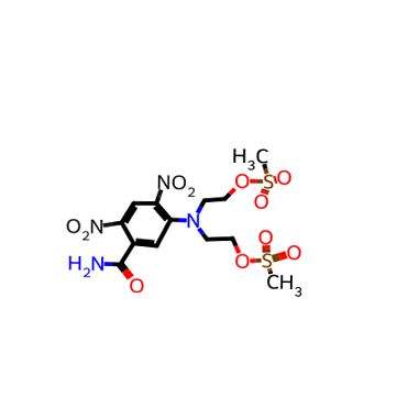 CS(=O)(=O)OCCN(CCOS(C)(=O)=O)c1cc(C(N)=O)c([N+](=O)[O-])cc1[N+](=O)[O-]